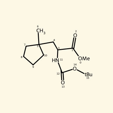 COC(=O)C(CC1(C)CCCC1)NC(=O)OC(C)(C)C